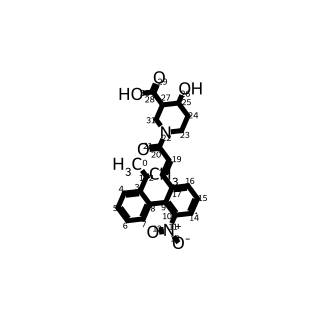 CC(C)c1ccccc1-c1c([N+](=O)[O-])[c]ccc1/C=C/C(=O)N1CCC(O)C(C(=O)O)C1